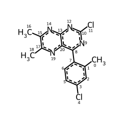 Cc1cc(Cl)ccc1-c1nc(Cl)nc2nc(C)c(C)nc12